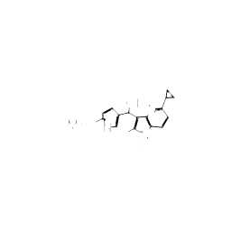 CSc1ccc(C(O)c2c(C)[nH]c3ccc(C4CC4)nc23)cn1